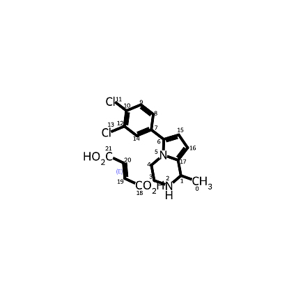 CC1NCCn2c(-c3ccc(Cl)c(Cl)c3)ccc21.O=C(O)/C=C/C(=O)O